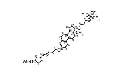 COC1CCC(SSCCCOc2ccc3c(c2)CCC2C3CC[C@@]3(C)C2CC[C@@H]3OCCCOC(C(F)(F)F)(C(F)(F)F)C(F)(F)F)C1